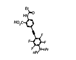 CCCN(CCC)c1c(F)c(F)c(C#Cc2ccc(NC(=O)CC)c(C(=O)O)c2)c(F)c1F